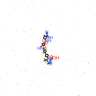 Cc1sc2c(c1C)C(c1ccc(-c3cc(F)c(C(=O)NC(C)c4ccc(S(=O)(=O)Nc5ccc(C)c6c(C#N)c[nH]c56)cc4)cc3F)cc1)=N[C@@H](CC(=O)O)c1nnc(C)n1-2